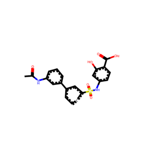 CC(=O)Nc1cccc(-c2cccc(S(=O)(=O)Nc3ccc(C(=O)O)c(O)c3)c2)c1